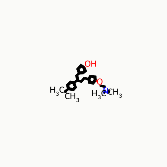 CC(C)c1ccc(C(=Cc2ccc(O)cc2)CCc2ccc(OCCN(C)C)cc2)cc1